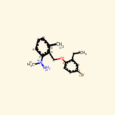 CCc1cc(Br)ccc1OCc1c(C)cccc1N(C)N